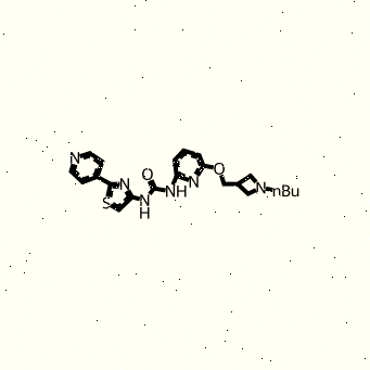 CCCCN1CC(COc2cccc(NC(=O)Nc3csc(-c4ccncc4)n3)n2)C1